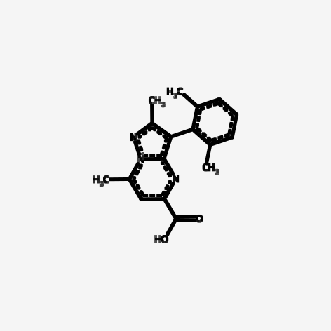 Cc1cccc(C)c1-c1c(C)nn2c(C)cc(C(=O)O)nc12